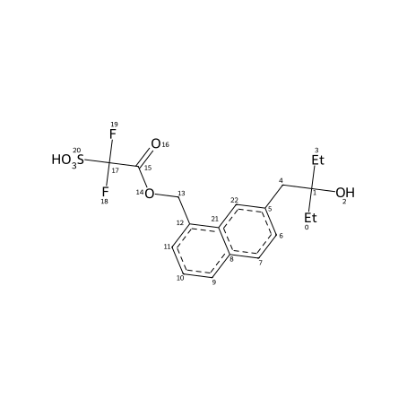 CCC(O)(CC)Cc1ccc2cccc(COC(=O)C(F)(F)S(=O)(=O)O)c2c1